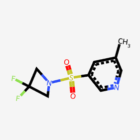 Cc1cncc(S(=O)(=O)N2CC(F)(F)C2)c1